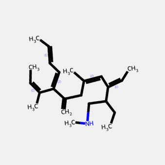 C=C(C/C(C)=C\C(=C/C)C(CC)CNC)C(=C/C=C/C)/C(C)=C\C